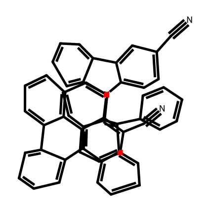 N#Cc1ccc2c(c1)c1ccccc1n2-c1c(C#N)cccc1-c1ccccc1-c1ccccc1-c1c2ccccc2c(-c2ccccc2)c2ccccc12